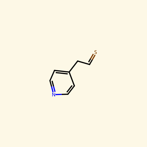 S=CCc1ccncc1